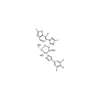 Cc1nc([C@H]2O[C@@H](CO)[C@@H](O)[C@@H](n3cc(-c4cc(F)c(F)c(F)c4)cn3)[C@@H]2O)n(-c2ccc3nc(C)sc3c2F)n1